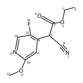 CCOC(=O)C(C#N)c1cc(OC)ncc1F